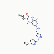 CO[C@H](C)C1C(=O)Nc2c(cc(NCc3cnn(Cc4ccc(C(F)(F)F)cn4)c3)nc2C)N1C